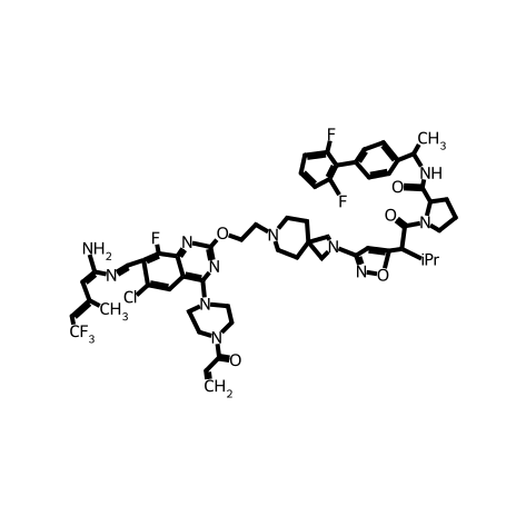 C=CC(=O)N1CCN(c2nc(OCCN3CCC4(CC3)CN(c3cc(C(C(=O)N5CCCC5C(=O)NC(C)c5ccc(-c6c(F)cccc6F)cc5)C(C)C)on3)C4)nc3c(F)c(/C=N/C(N)=C\C(C)=C\C(F)(F)F)c(Cl)cc23)CC1